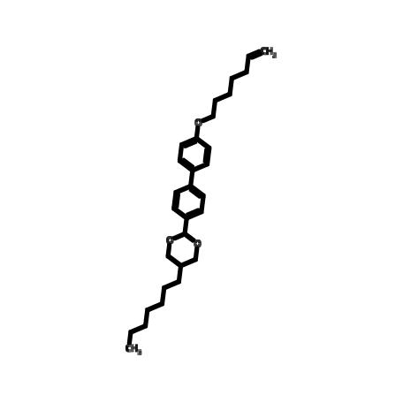 C=CCCCCCOc1ccc(-c2ccc(C3OCC(CCCCCCC)CO3)cc2)cc1